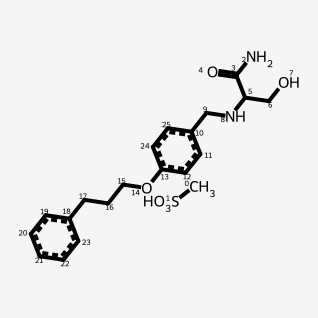 CS(=O)(=O)O.NC(=O)C(CO)NCc1ccc(OCCCc2ccccc2)cc1